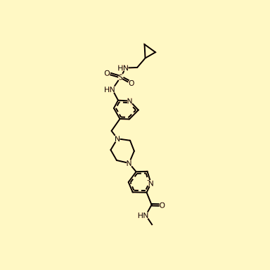 CNC(=O)c1ccc(N2CCN(Cc3ccnc(NS(=O)(=O)NCC4CC4)c3)CC2)cn1